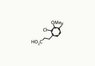 COc1c(F)ccc(CCC(=O)O)c1Cl